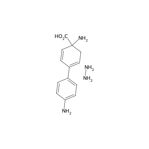 NN.Nc1ccc(C2=CCC(N)(C(=O)O)C=C2)cc1